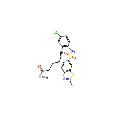 COC(=O)CCCC#Cc1cc(Cl)ccc1NS(=O)(=O)c1ccc2nc(C)sc2c1